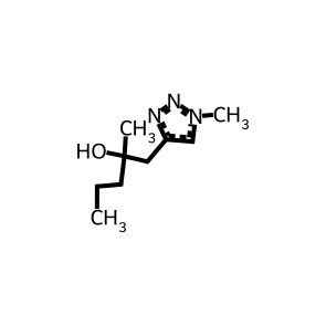 CCCC(C)(O)Cc1cn(C)nn1